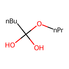 CCCCC(O)(O)OCCC